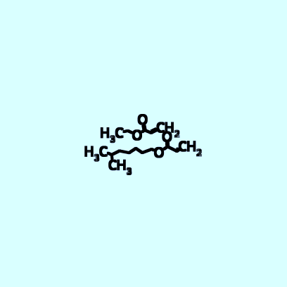 C=CC(=O)OCC.C=CC(=O)OCCCCCC(C)C